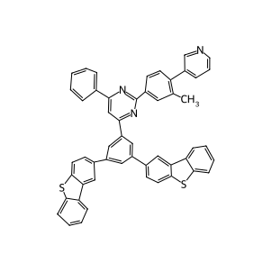 Cc1cc(-c2nc(-c3ccccc3)cc(-c3cc(-c4ccc5sc6ccccc6c5c4)cc(-c4ccc5sc6ccccc6c5c4)c3)n2)ccc1-c1cccnc1